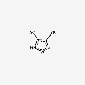 N#Cc1[nH]nnc1C(F)(F)F